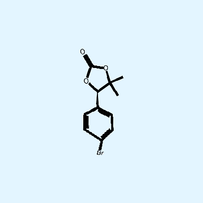 CC1(C)OC(=O)O[C@@H]1c1ccc(Br)cc1